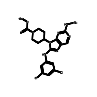 CC(C)(C)Nc1ncc2nc(Nc3cc(Cl)cc(Cl)c3)n(C3CCN(C(=O)OC(C)(C)C)CC3)c2n1